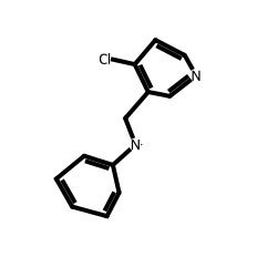 Clc1ccncc1C[N]c1ccccc1